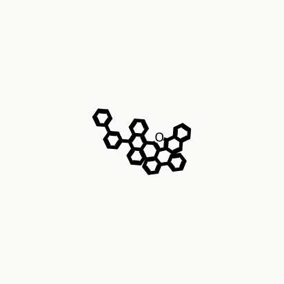 c1ccc(-c2cccc(-c3c4ccccc4c(-c4oc5c(ccc6ccccc65)c4-c4ccccc4-c4ccccc4)c4ccccc34)c2)cc1